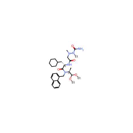 CCOC(OCC)[C@H](C)N(Cc1cccc2ccccc12)C(=O)[C@H](CC1CCCCC1)NC(=O)CN(C)N(CC)C(N)=O